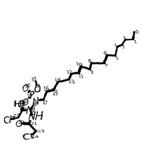 CCCCCCCCCCCCCCCCCCN(N(NC(=O)CCl)C(=O)CCl)P(=O)(O)OC